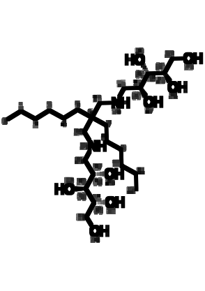 CCCCCCC(CCCCCC)(CNC[C@H](O)[C@H](O)[C@H](O)CO)CNC[C@H](O)[C@H](O)[C@H](O)CO